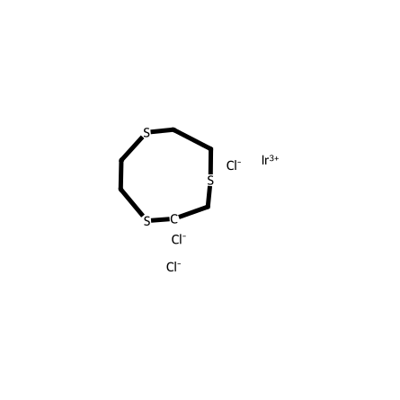 C1CSCCSCCS1.[Cl-].[Cl-].[Cl-].[Ir+3]